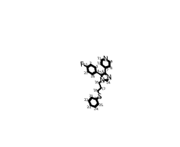 Fc1ccc(-c2c(-c3ccncc3)ncn2CCCSc2ccccc2)cc1